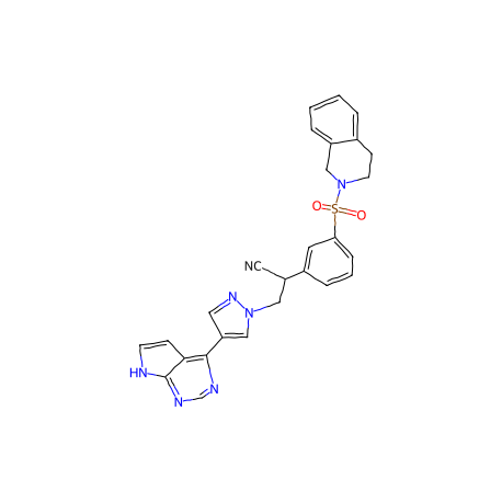 N#CC(Cn1cc(-c2ncnc3[nH]ccc23)cn1)c1cccc(S(=O)(=O)N2CCc3ccccc3C2)c1